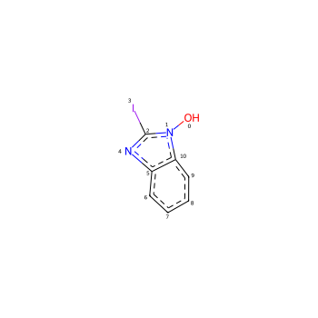 On1c(I)nc2ccccc21